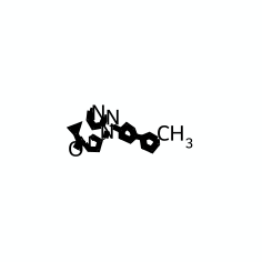 Cc1cccc(-c2ccc(-c3nc4ncccc4n3C[C@@H]3CCN(C(=O)C4CC4)C3)cc2)c1